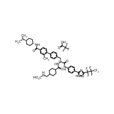 Cc1cc(C(=O)N[C@H]2CC[C@H](N(C)C)CC2)ccc1-c1ccc(C[C@H](NC(=O)C2CCC(CNC(=O)O)CC2)C(=O)Nc2ccc(-c3nc(C(F)(F)C(F)(F)C(F)(F)F)n[nH]3)cc2)cc1.O=C(O)C(F)(F)F